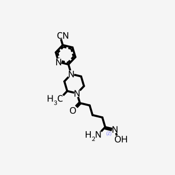 CC1CN(c2ccc(C#N)cn2)CCN1C(=O)CCC/C(N)=N/O